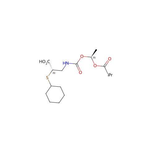 CC(C)C(=O)O[C@H](C)OC(=O)NC[C@H](SC1CCCCC1)C(=O)O